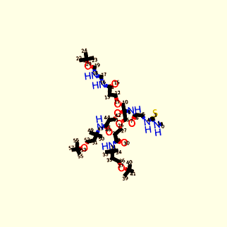 CNC(=S)NCC(=O)NC(COCCC(=O)NCNCOC(C)(C)C)(COCCC(=O)NC(C)(C)CCOC(C)(C)C)OCCC(=O)NC(C)(C)CCOC(C)(C)C